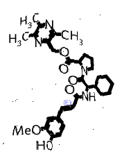 COc1cc(/C=C/C(=O)NC(C(=O)N2CCCC2C(=O)OCc2nc(C)c(C)nc2C)C2CCCCC2)ccc1O